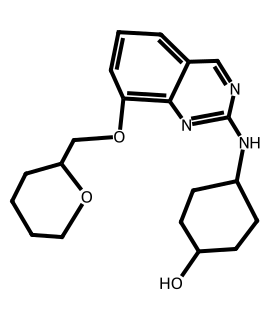 OC1CCC(Nc2ncc3cccc(OCC4CCCCO4)c3n2)CC1